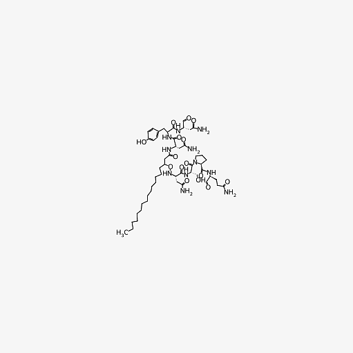 CCCCCCCCCCCCCCCC(CC(=O)N[C@@H](CC(N)=O)C(=O)NC(Cc1ccc(O)cc1)C(=O)N[C@H](C=O)CC(N)=O)ON[C@@H](CC(N)=O)C(=O)N[C@@H](CO)C(=O)N1CCC[C@H]1C(=O)N[C@H](C=O)CCC(N)=O